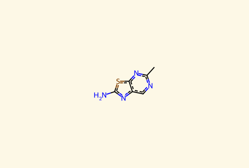 Cc1ncc2nc(N)sc2n1